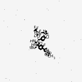 CC(C)(C)C[C@]1(c2ccc(-c3cnn(S(C)(=O)=O)c3)c(F)c2)NC(=N)N([C@H](COC(=O)N[C@H]2CC2(F)F)c2ccc(Cl)c(-n3ncnc3C(F)F)c2)C1=O